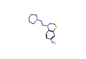 Nc1ccc2c(c1)SCCN2CCN1CCCCC1